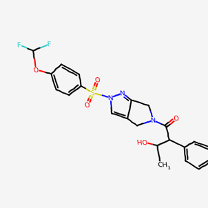 CC(O)C(C(=O)N1Cc2cn(S(=O)(=O)c3ccc(OC(F)F)cc3)nc2C1)c1ccccc1